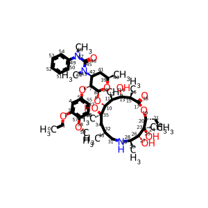 CCOc1cc(O[C@H]2[C@H](O[C@@H]3[C@@H](C)[C@H](O)[C@@H](C)C(=O)O[C@H](CC)[C@@](C)(O)[C@H](O)[C@@H](C)NC[C@H](C)C[C@@]3(C)O)O[C@H](C)C[C@@H]2N(C)C(=O)N(C)c2ccccc2)ccc1OC